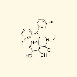 CCN1CC(C(C2=CC(F)=CCC2)c2cccc(F)c2)N2N=CC(O)C(O)=C2C1=O